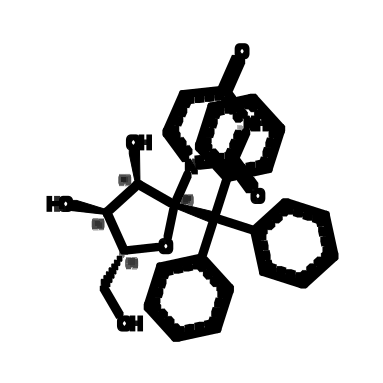 O=c1ccn([C@]2(C(c3ccccc3)(c3ccccc3)c3ccccc3)O[C@H](CO)[C@@H](O)[C@H]2O)c(=O)[nH]1